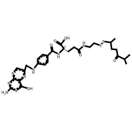 CC(CCC(=O)C(C)C)SSCCNC(=O)CC[C@H](NC(=O)c1ccc(NCc2cnc3nc(N)nc(O)c3n2)cc1)C(=O)O